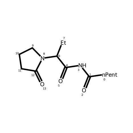 CCCCCC(=O)NC(=O)C(CC)N1CCCC1=O